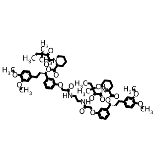 CCC(C)(C)C(=O)C(=O)N1CCCCC1C(=O)O[C@H](CCc1ccc(OC)c(OC)c1)c1cccc(OCC(=O)NCCNC(=O)COc2cccc([C@@H](CCc3ccc(OC)c(OC)c3)OC(=O)C3CCCCN3C(=O)C(=O)C(C)(C)CC)c2)c1